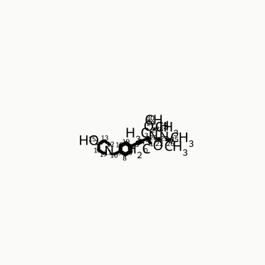 C=CC(C)(C#Cc1ccc(CN2CCC(O)CC2)cc1)N(C(=O)NC(C)C)C(C)OC